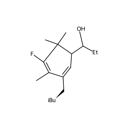 CCC(O)C1C=C(C[C@H](C)CC)C(C)=C(F)C1(C)C